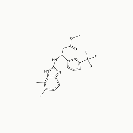 COC(=O)CC(Nc1nc2ccc(F)c(C)c2[nH]1)c1cccc(C(F)(F)F)c1